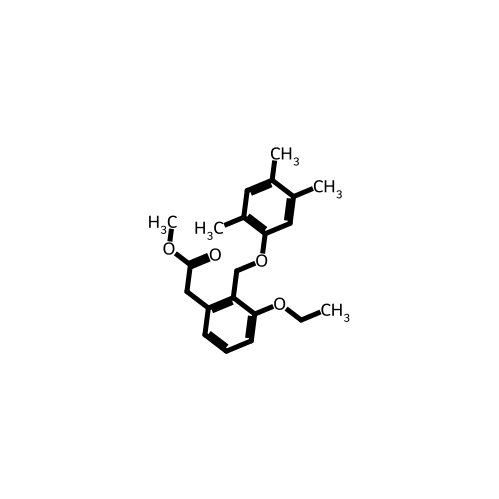 CCOc1cccc(CC(=O)OC)c1COc1cc(C)c(C)cc1C